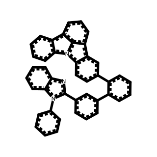 c1ccc(-n2c(-c3cccc(-c4ccccc4-c4ccc5c(c4)c4cccc6c7ccccc7n5c64)c3)nc3ccccc32)cc1